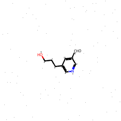 O=Cc1cncc(CCCO)c1